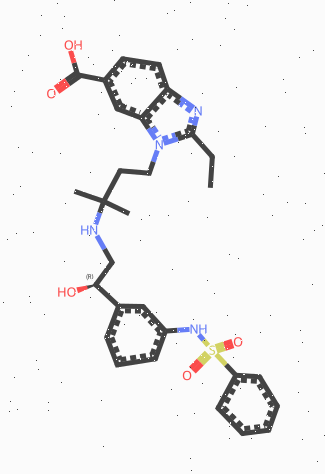 CCc1nc2ccc(C(=O)O)cc2n1CCC(C)(C)NC[C@H](O)c1cccc(NS(=O)(=O)c2ccccc2)c1